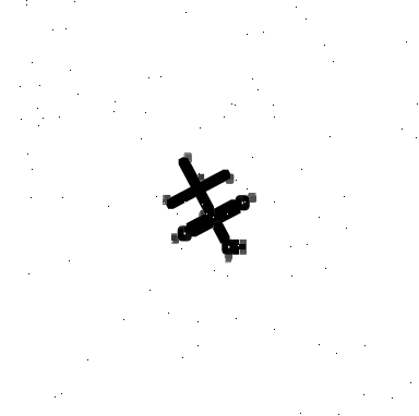 CC(C)(C)S(=O)(=O)O